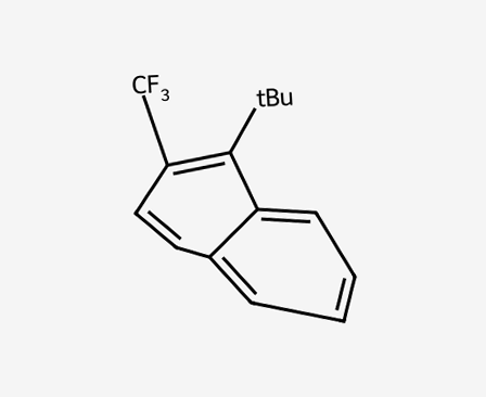 CC(C)(C)c1c(C(F)(F)F)ccc2ccccc12